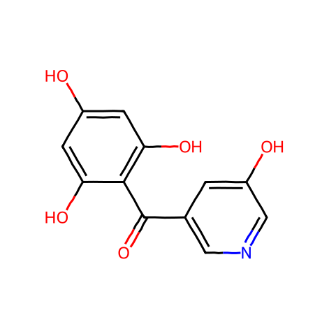 O=C(c1cncc(O)c1)c1c(O)cc(O)cc1O